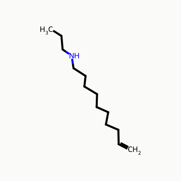 C=CCCCCCCCCNCCC